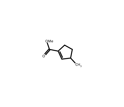 COC(=O)C1=CC(C)CC1